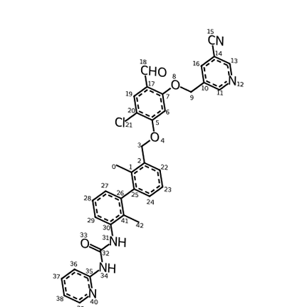 Cc1c(COc2cc(OCc3cncc(C#N)c3)c(C=O)cc2Cl)cccc1-c1cccc(NC(=O)Nc2ccccn2)c1C